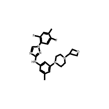 Cc1cc(Nc2ncn(-c3cc(F)c(C)cc3F)n2)cc(N2CCN(C3COC3)CC2)c1